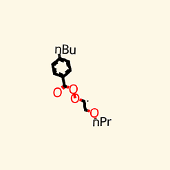 CCCCc1ccc(C(=O)OO[CH]COCCC)cc1